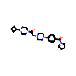 O=C(CN1CCN(c2ccc(C(=O)N3CCCC3)cc2)CC1)N1CCN(C2CCC2)CC1